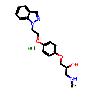 CC(C)NCC(O)COc1ccc(OCCn2ncc3ccccc32)cc1.Cl